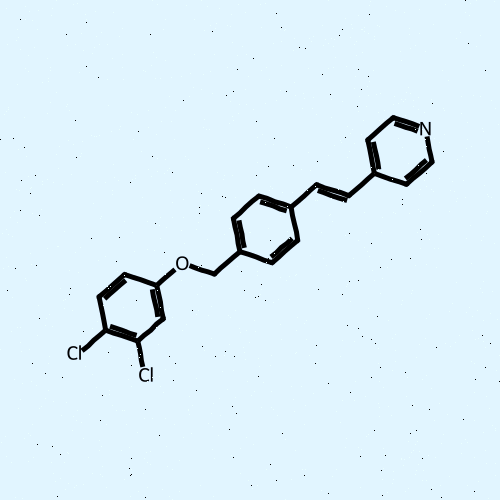 Clc1ccc(OCc2ccc(C=Cc3ccncc3)cc2)cc1Cl